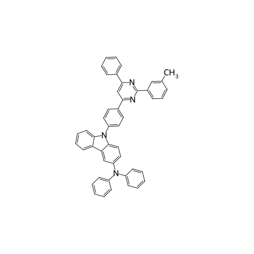 Cc1cccc(-c2nc(-c3ccccc3)cc(-c3ccc(-n4c5ccccc5c5cc(N(c6ccccc6)c6ccccc6)ccc54)cc3)n2)c1